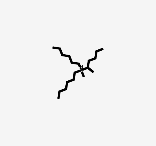 CCCCCC[PH](C)(CCCCCC)C(C)CCCC